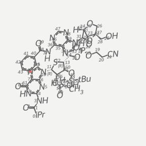 CC(C)C(=O)Nc1nc2c(ncn2[C@@H]2S[C@H](COP(=O)(OCCC#N)O[C@H]3[C@H]4OC[C@]3(CO)O[C@H]4n3cnc4c(NC(=O)c5ccccc5)ncnc43)[C@@H](O[Si](C)(C)C(C)(C)C)[C@H]2O[PH](=O)O)c(=O)[nH]1